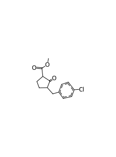 COC(=O)C1CCC(Cc2ccc(Cl)cc2)C1=O